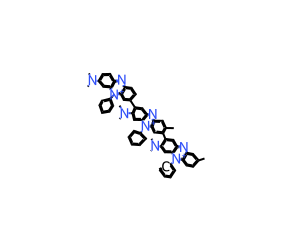 Cc1ccc2c(c1)nc1cc(-c3cc4c(cc3C)nc3cc(-c5ccc6nc7ccc(N(C)C)cc7[n+](-c7ccccc7)c6c5)c(N(C)C)cc3[n+]4-c3ccccc3)c(N(C)C)cc1[n+]2-c1ccccc1